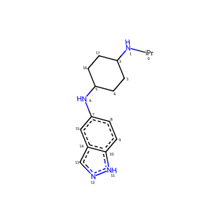 CC(C)NC1CCC(Nc2ccc3[nH]ncc3c2)CC1